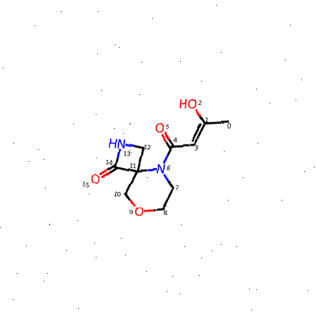 C/C(O)=C/C(=O)N1CCOCC12CNC2=O